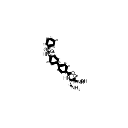 NC[C@H](NC(=O)c1ccc(-c2ccc(NS(=O)(=O)c3ccccc3)cc2)cc1)C(=O)NO